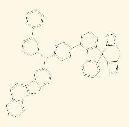 c1ccc(-c2cccc(N(c3ccc(-c4cccc5c4-c4ccccc4C54c5ccccc5Oc5ccccc54)cc3)c3ccc4oc5c6ccccc6ccc5c4c3)c2)cc1